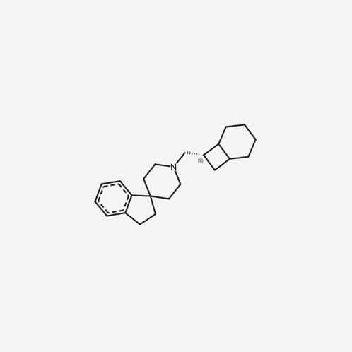 c1ccc2c(c1)CCC21CCN(C[C@H]2CC3CCCCC32)CC1